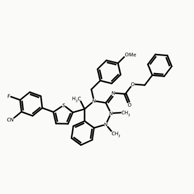 [C-]#[N+]c1cc(-c2ccc(C3(C)c4ccccc4N(C)N(C)/C(=N\C(=O)OCc4ccccc4)N3Cc3ccc(OC)cc3)s2)ccc1F